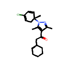 Cc1nn(C2(C)C=CC(Cl)=CC2)c(C)c1C(=O)CC1CCCCC1